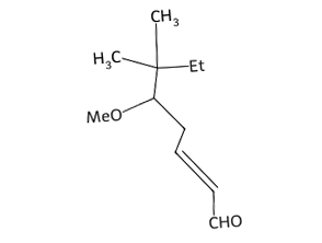 CCC(C)(C)C(CC=CC=O)OC